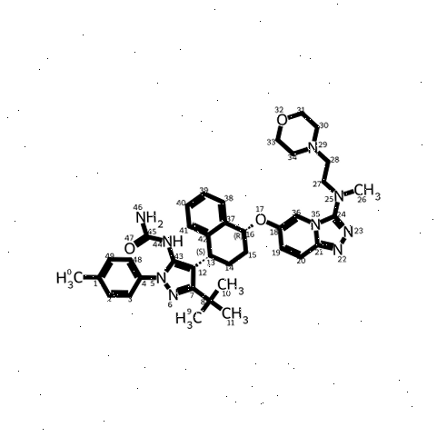 Cc1ccc(-n2nc(C(C)(C)C)c([C@H]3CC[C@@H](Oc4ccc5nnc(N(C)CCN6CCOCC6)n5c4)c4ccccc43)c2NC(N)=O)cc1